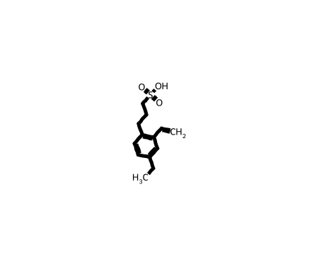 C=Cc1cc(CC)ccc1CCCS(=O)(=O)O